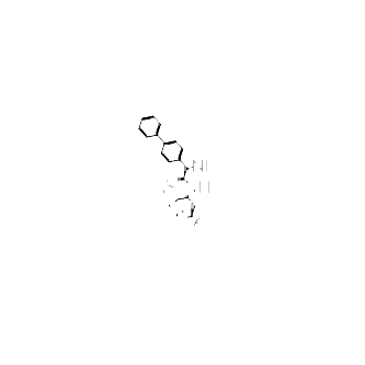 CC(C)C[C@H](NC(=O)[C@H](N)c1ccc(-c2ccccc2)cc1)C(N)=O